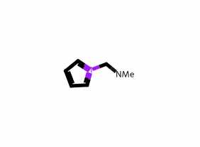 CNCI1=CC=CC=1